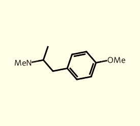 CNC(C)Cc1ccc(OC)cc1